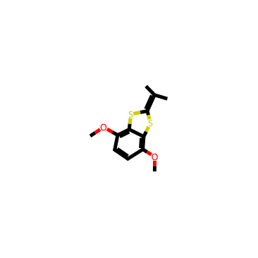 COc1ccc(OC)c2c1SC(=C(C)C)S2